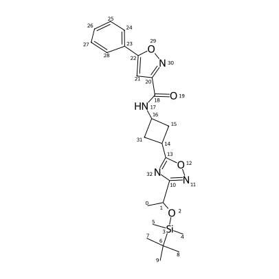 CC(O[Si](C)(C)C(C)(C)C)c1noc(C2CC(NC(=O)c3cc(-c4ccccc4)on3)C2)n1